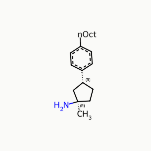 CCCCCCCCc1ccc([C@@H]2CC[C@@](C)(N)C2)cc1